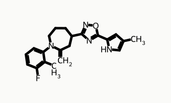 C=C1CC(c2noc(-c3cc(C)c[nH]3)n2)CCCN1c1cccc(F)c1C